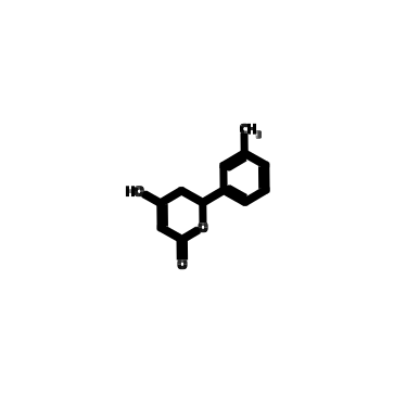 Cc1cccc(C2CC(O)=CC(=O)O2)c1